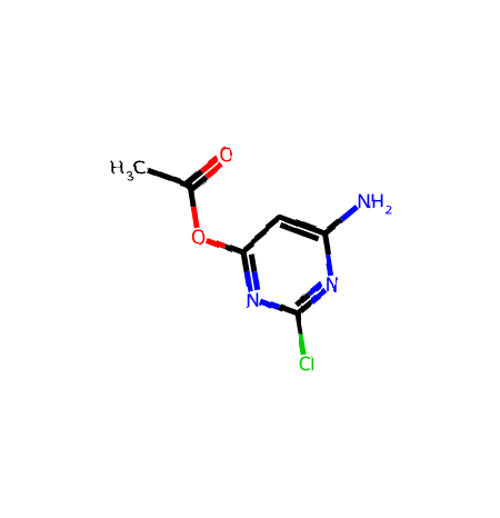 CC(=O)Oc1cc(N)nc(Cl)n1